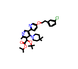 Cc1ncc(-c2ccc(OCCc3cccc(Cl)c3)cn2)c(N2CCC(C)(C)CC2)c1C(OC(C)(C)C)C(=O)OC(C)C